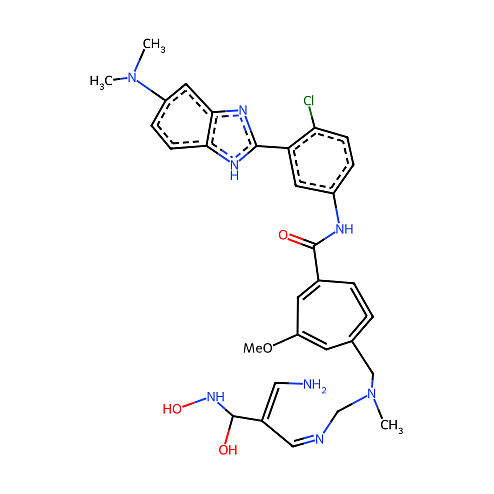 COC1=CC(CN(C)C/N=C\C(=C/N)C(O)NO)=C=CC(C(=O)Nc2ccc(Cl)c(-c3nc4cc(N(C)C)ccc4[nH]3)c2)=C1